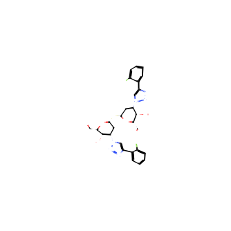 OC[C@H]1O[C@@H](S[C@@H]2O[C@H](CO)[C@H](O)[C@H](n3cc(-c4ccccc4F)nn3)[C@H]2O)[C@H](O)[C@@H](n2cc(-c3ccccc3F)nn2)[C@H]1O